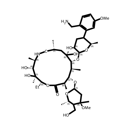 CC[C@H]1OC(=O)[C@H](C)[C@@H](O[C@H]2C[C@@](C)(OC)C(CO)[C@H](C)O2)[C@H](C)[C@@H](O[C@@H]2O[C@H](C)C(c3cc(OC)ccc3CN)C[C@H]2O)[C@](C)(O)C[C@@H](C)CN[C@H](C)[C@@H](O)[C@]1(C)O